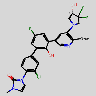 COc1ncc(-c2cc(F)cc(-c3ccc(-n4ccn(C)c4=O)c(Cl)c3)c2O)cc1N1C[C@H](O)C(F)(F)C1